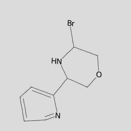 BrC1COCC(c2ccccn2)N1